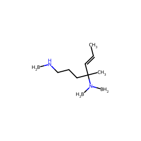 BNCCCC(C)(C=CC)N(B)B